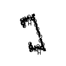 COc1ccc(OC)c(-n2nnc(C(=O)Nc3cc(OCCOCCOCCOCCOCCOCCOc4cc(NC(=O)c5nnn(-c6cc(OC)ccc6OC)c5C)cc(C(C)(C)C)c4)cc(C(C)(C)C)c3)c2C)c1